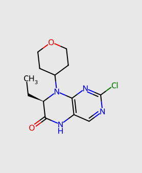 CC[C@@H]1C(=O)Nc2cnc(Cl)nc2N1C1CCOCC1